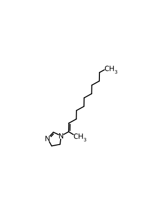 CCCCCCCCCC=C(C)N1C=NCC1